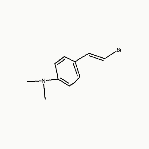 CN(C)c1ccc(/C=C/Br)cc1